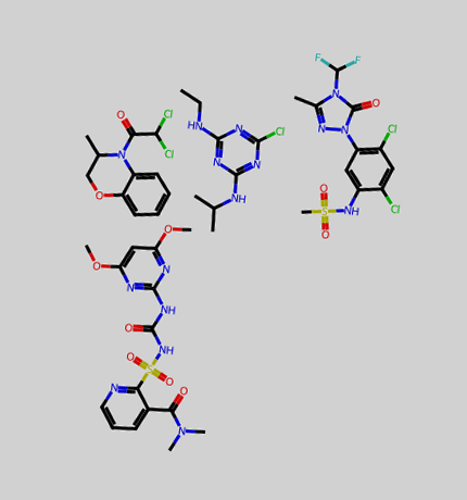 CC1COc2ccccc2N1C(=O)C(Cl)Cl.CCNc1nc(Cl)nc(NC(C)C)n1.COc1cc(OC)nc(NC(=O)NS(=O)(=O)c2ncccc2C(=O)N(C)C)n1.Cc1nn(-c2cc(NS(C)(=O)=O)c(Cl)cc2Cl)c(=O)n1C(F)F